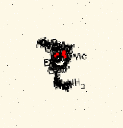 CC[C@H]1OC(=O)[C@H](C)[C@@H](O[C@H]2C[C@@](C)(OC)[C@@H](OC(=O)c3ccccc3)[C@H](C)O2)[C@H](C)[C@@H](O[C@@H]2O[C@H](C)C[C@H](N(C)C)[C@H]2OC(=O)c2ccccc2)[C@@](C)(OC)C[C@@H](C)C(=O)[C@H](C)C2N(CCCCn3cc(-c4cccc(N)c4)nn3)C(=O)O[C@@]21C